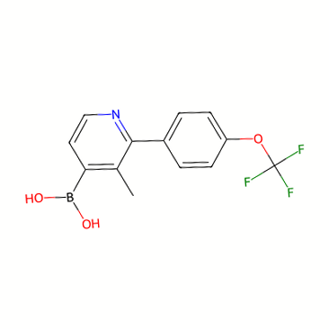 Cc1c(B(O)O)ccnc1-c1ccc(OC(F)(F)F)cc1